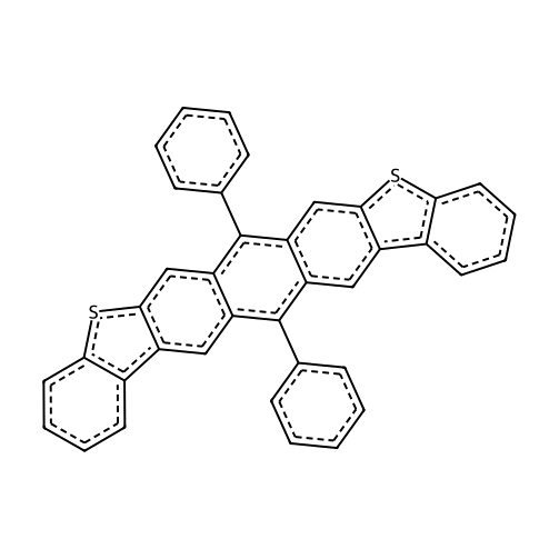 c1ccc(-c2c3cc4sc5ccccc5c4cc3c(-c3ccccc3)c3cc4c(cc23)sc2ccccc24)cc1